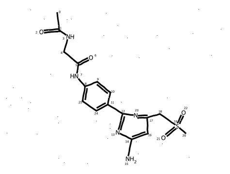 CC(=O)NCC(=O)Nc1ccc(-c2nc(N)cc(CS(C)(=O)=O)n2)cc1